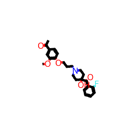 COc1cc(C(C)=O)ccc1OCCCN1CCC(O)(C(=O)c2ccccc2F)CC1